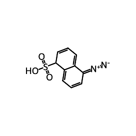 [N-]=[N+]=C1C=CC=C2C1=CC=CC2S(=O)(=O)O